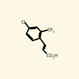 O=C(O)C=Cc1ccc(Cl)cc1C(F)(F)F